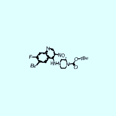 CC(C)(C)OC(=O)N1CCN(Nc2c([N+](=O)[O-])cnc3cc(F)c(Br)cc23)CC1